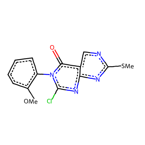 COc1ccccc1-n1c(Cl)nc2nc(SC)ncc2c1=O